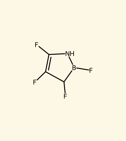 FB1NC(F)=C(F)C1F